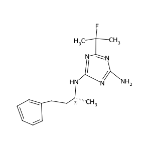 C[C@H](CCc1ccccc1)Nc1nc(N)nc(C(C)(C)F)n1